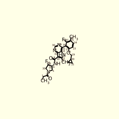 CCC(=O)N1C[C@H](NC(=O)c2c(C)[nH]c3c(-c4c(OCC5CC5)ccc(C)c4F)ncnc23)[C@@H](F)C1